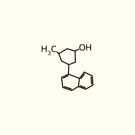 CC1CC(O)CC(c2cccc3ccccc23)C1